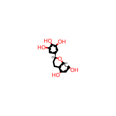 Oc1cc(O)c2c(c1)O[C@H](c1cc(O)c(O)c(O)c1)CC2